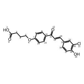 O=C(O)CCCOc1ccc(C(=O)C=Cc2ccc(O)c(Cl)c2)cc1